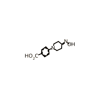 O=C(O)c1ccc(N2CCC(=NO)CC2)cc1